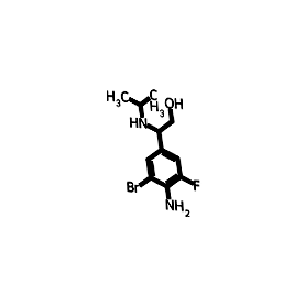 CC(C)NC(CO)c1cc(F)c(N)c(Br)c1